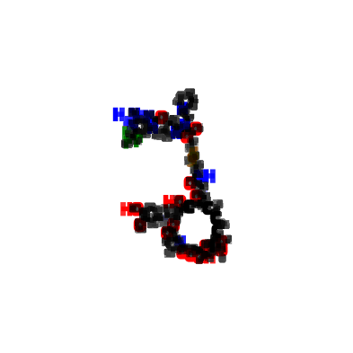 CO[C@H]1C[C@@H](C)[C@@]2(O)O[C@H]1[C@H](OC)C[C@H](C)CC(C)C[C@H](C/C=C/C(=O)NCCSSCCOC(=O)N(CCN1CCCCC1)c1ccc(Cn3c(=O)[nH]c4c(N)nc(C(F)(F)F)cc43)cn1)C(=O)C[C@H](O)[C@@H](C)[C@@H](/C(C)=C/[C@@H]1CC[C@@H](O)[C@H](OC)C1)OC(=O)C1CCCCN1C(=O)C2=O